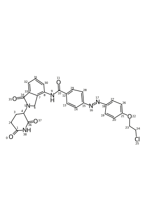 O=C1CCC(N2Cc3c(NC(=O)c4ccc(/N=N/c5ccc(OCCCl)cc5)cc4)cccc3C2=O)C(=O)N1